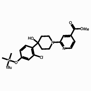 COC(=O)c1ccnc(N2CCC(O)(c3ccc(O[Si](C)(C)C(C)(C)C)cc3Cl)CC2)c1